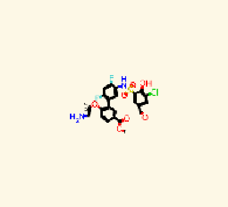 COC(=O)c1ccc(O[C@@H](C)CN)c(-c2cc(NS(=O)(=O)c3cc(C=O)cc(Cl)c3O)c(F)cc2F)c1